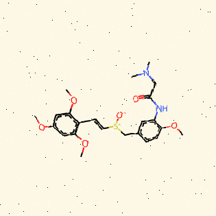 COc1cc(OC)c(/C=C/[S+]([O-])Cc2ccc(OC)c(NC(=O)CN(C)C)c2)c(OC)c1